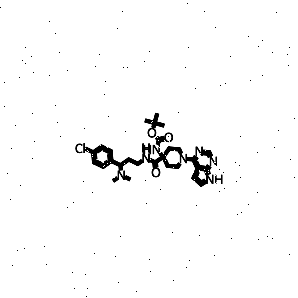 CN(C)C(CCNC(=O)C1(NC(=O)OC(C)(C)C)CCN(c2ncnc3[nH]ccc23)CC1)c1ccc(Cl)cc1